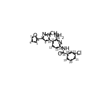 Cn1nc(-c2ccco2)cc1-c1ccc(NC(=O)c2cccc(Cl)c2)nc1N